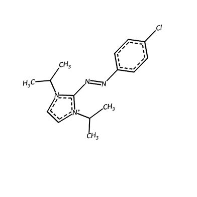 CC(C)n1cc[n+](C(C)C)c1N=Nc1ccc(Cl)cc1